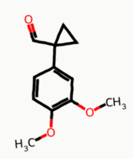 COc1ccc(C2(C=O)CC2)cc1OC